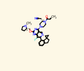 C=CC(=O)N1CCN(c2nc(OC[C@@H]3CCCN3C)nc3c(F)c(-c4cccc5c4C4(CC5)CC4)ncc23)C[C@@H]1CC#N